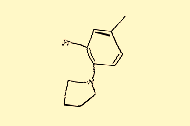 Cc1ccc(N2CCCC2)c(C(C)C)c1